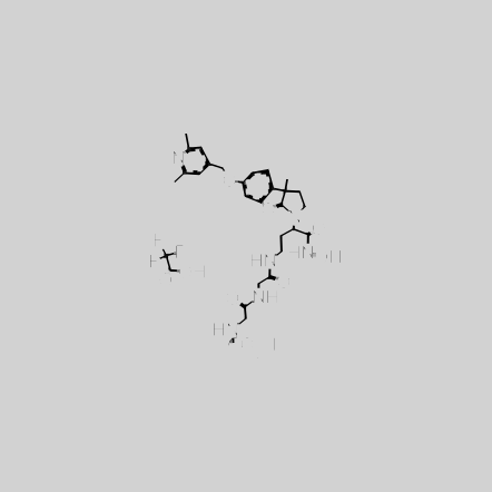 Cc1cc(COc2ccc(C3(C)CCN(C(CCNC(=O)CNC(=O)CNC(=O)O)C(=O)NO)C3=O)cc2)cc(C)n1.O=C(O)C(F)(F)F